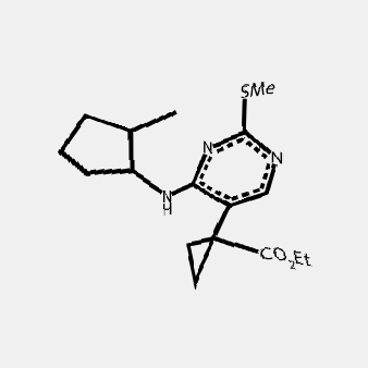 CCOC(=O)C1(c2cnc(SC)nc2NC2CCCC2C)CC1